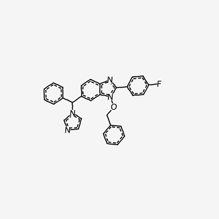 Fc1ccc(-c2nc3ccc(C(c4ccccc4)n4ccnc4)cc3n2OCc2ccccc2)cc1